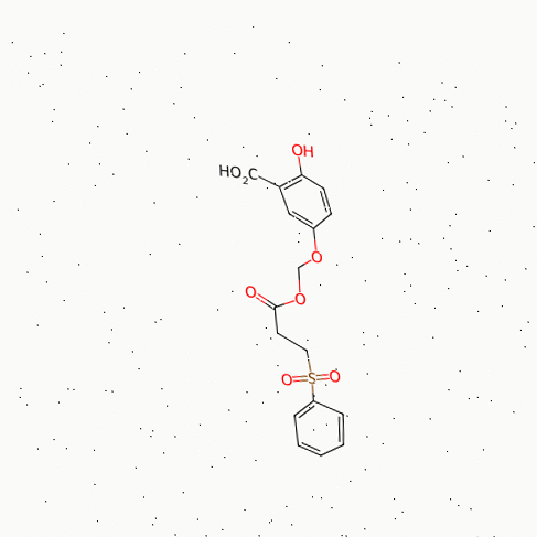 O=C(CCS(=O)(=O)c1ccccc1)OCOc1ccc(O)c(C(=O)O)c1